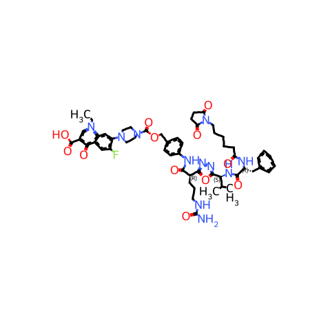 CCn1cc(C(=O)O)c(=O)c2cc(F)c(N3CCN(C(=O)OCc4ccc(NC(=O)[C@H](CCCNC(N)=O)c5nnc([C@@H](NC(=O)[C@@H](Cc6ccccc6)NC(=O)CCCCCN6C(=O)CCC6=O)C(C)C)o5)cc4)CC3)cc21